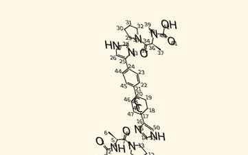 COC(=O)N[C@@H](C)C(=O)N1CCC[C@H]1c1nc(C23CCC(c4ccc(-c5c[nH]c([C@@H]6CCCN6C(=O)[C@H](C)N(C)C(=O)O)n5)cc4)(CC2)CC3)c[nH]1